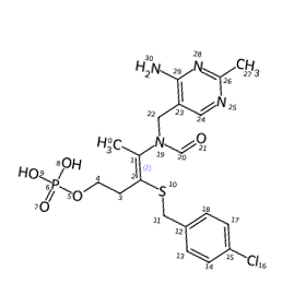 C/C(=C(\CCOP(=O)(O)O)SCc1ccc(Cl)cc1)N(C=O)Cc1cnc(C)nc1N